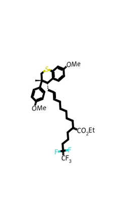 CCOC(=O)C(CCCCC/C=C/C[C@H]1c2ccc(OC)cc2SC[C@@]1(C)c1ccc(OC)cc1)CCCC(F)(F)C(F)(F)F